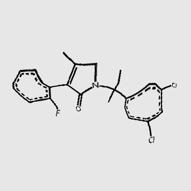 CC1=C(c2ccccc2F)C(=O)N(C(C)(C)c2cc(Cl)cc(Cl)c2)C1